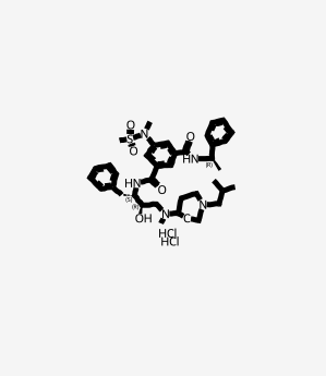 CC(C)CN1CCC(N(C)C[C@@H](O)[C@H](Cc2ccccc2)NC(=O)c2cc(C(=O)N[C@H](C)c3ccccc3)cc(N(C)S(C)(=O)=O)c2)CC1.Cl.Cl